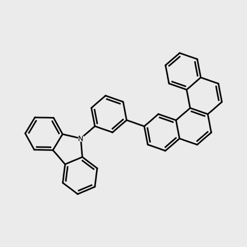 c1cc(-c2ccc3ccc4ccc5ccccc5c4c3c2)cc(-n2c3ccccc3c3ccccc32)c1